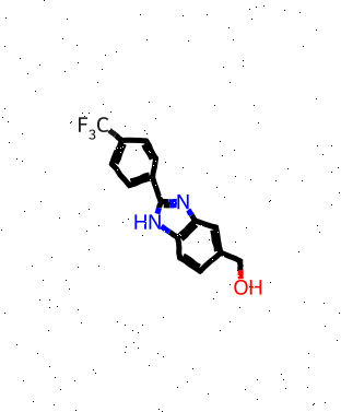 OCc1ccc2[nH]c(-c3ccc(C(F)(F)F)cc3)nc2c1